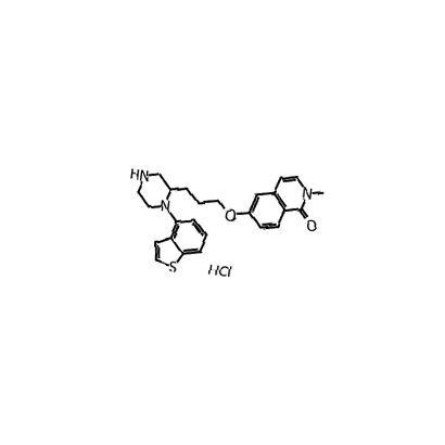 Cl.Cn1ccc2cc(OCCCC3CNCCN3c3cccc4sccc34)ccc2c1=O